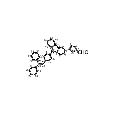 O=Cc1ccc(-c2ccc3c(c2)c2ccccc2n3-c2ccc(C=C(c3ccccc3)c3ccccc3)cc2)s1